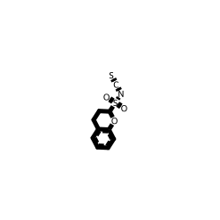 O=S(=O)(N=C=S)C1CCc2ccccc2O1